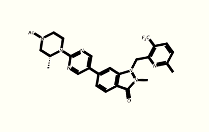 CC(=O)N1CCN(c2ncc(-c3ccc4c(=O)n(C)n(Cc5nc(C)ccc5C(F)(F)F)c4c3)cn2)[C@H](C)C1